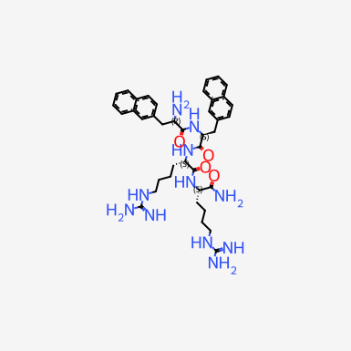 N=C(N)NCCCC[C@H](NC(=O)[C@H](CCCCNC(=N)N)NC(=O)[C@H](Cc1ccc2ccccc2c1)NC(=O)[C@H](N)Cc1ccc2ccccc2c1)C(N)=O